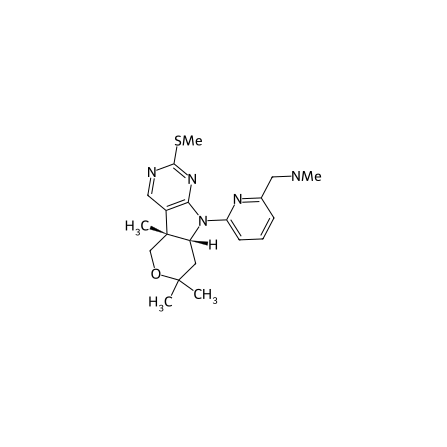 CNCc1cccc(N2c3nc(SC)ncc3[C@@]3(C)COC(C)(C)C[C@@H]23)n1